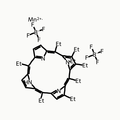 CCC1=Cc2nc1c(CC)c1c(CC)c(CC)c(c(CC)c3nc(c(CC)c4ccc([nH]4)c2CC)C=C3)n1CC.F[B-](F)(F)F.F[B-](F)(F)F.[Mn+2]